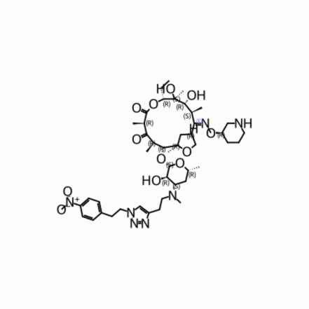 CC[C@H]1OC(=O)[C@H](C)C(=O)[C@H](C)[C@@H](O[C@@H]2O[C@H](C)C[C@H](N(C)CCc3cn(CCc4ccc([N+](=O)[O-])cc4)nn3)[C@H]2O)[C@@]2(C)C[C@@H](CO2)/C(=N\O[C@@H]2CCCNC2)[C@H](C)[C@@H](O)[C@]1(C)O